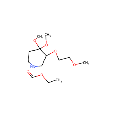 CCOC=O.COCCOC1CNCCC1(OC)OC